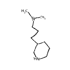 CN(C)CCCC1CCCNC1